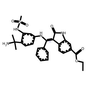 CCOC(=O)c1ccc2c(c1)NC(=O)/C2=C(\Nc1ccc(C(C)(C)N)c(NS(C)(=O)=O)c1)c1ccccc1